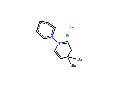 CC(C)(C)C1(C(C)(C)C)C=C[N+]([n+]2ccccc2)=CC1.[Br-].[Br-]